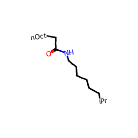 CCCCCCCCCC(=O)NCCCCCCC(C)C